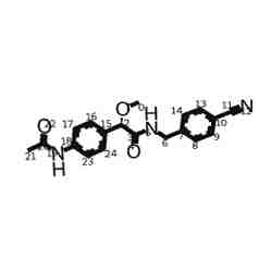 CO[C@H](C(=O)NCc1ccc(C#N)cc1)c1ccc(NC(C)=O)cc1